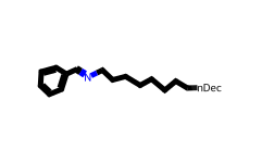 CCCCCCCCCCCCCCCCCCN=Cc1ccccc1